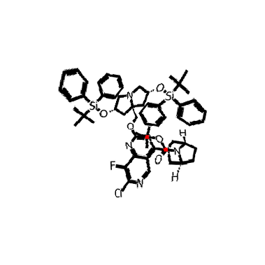 CC(C)(C)OC(=O)N1[C@H]2CC[C@H]1CN(c1nc(OC[C@@]34C[C@H](O[Si](c5ccccc5)(c5ccccc5)C(C)(C)C)CN3C[C@H](O[Si](c3ccccc3)(c3ccccc3)C(C)(C)C)C4)nc3c(F)c(Cl)ncc13)C2